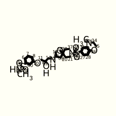 CNS(=O)(=O)c1cccc(OC[C@@H](O)CN[C@H]2COC3(CCN(S(=O)(=O)c4ccc5c(c4)N(C)CCO5)CC3)C2)c1